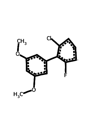 COc1cc(OC)cc(-c2c(F)[c]ccc2Cl)c1